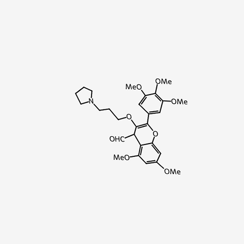 COc1cc(OC)c2c(c1)OC(c1cc(OC)c(OC)c(OC)c1)=C(OCCCN1CCCC1)C2C=O